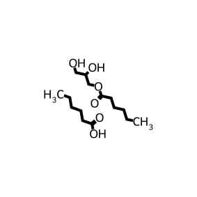 CCCCCC(=O)O.CCCCCC(=O)OCC(O)CO